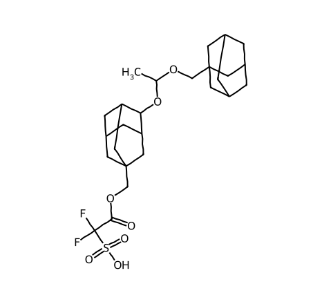 CC(OCC12CC3CC(CC(C3)C1)C2)OC1C2CC3CC1CC(COC(=O)C(F)(F)S(=O)(=O)O)(C3)C2